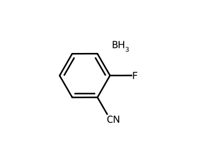 B.N#Cc1ccccc1F